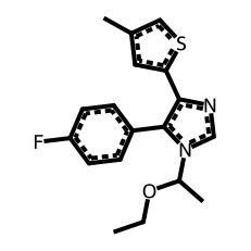 CCOC(C)n1cnc(-c2cc(C)cs2)c1-c1ccc(F)cc1